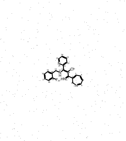 N=C(C1=CC=CC=NC1)/C(Cl)=C(\NCc1ccccc1F)c1ccccn1